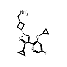 NC[C@H]1C[C@H](n2cc(-c3ncc(F)cc3OC3CC3)c(C3CC3)n2)C1